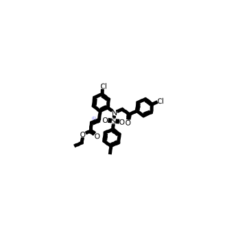 CCOC(=O)/C=C/c1ccc(Cl)cc1N(CC(=O)c1ccc(Cl)cc1)S(=O)(=O)c1ccc(C)cc1